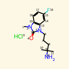 Cl.Cn1c(=O)n(CCCC(C)(C)N)c2cc(F)ccc21